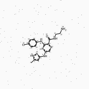 Cc1cc(Nc2cnc(C(=O)NCCN)c(Nc3ccc(Cl)cc3)n2)n[nH]1